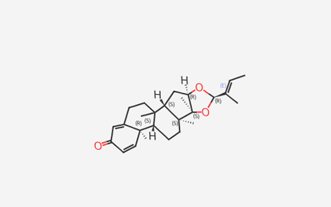 C/C=C(\C)[C@@H]1O[C@@H]2C[C@H]3C4(C)CCC5=CC(=O)C=C[C@]5(C)[C@H]4CC[C@]3(C)[C@]2(C)O1